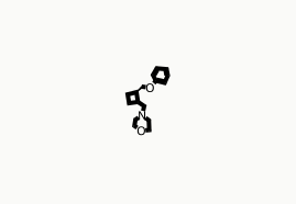 c1ccc(OC[C@@H]2CCC2CN2CCOCC2)cc1